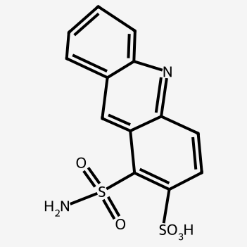 NS(=O)(=O)c1c(S(=O)(=O)O)ccc2nc3ccccc3cc12